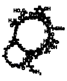 CSCC[C@@H]1NC(=O)[C@H](CC(=O)OO)NC(=O)[C@H](CC(C)C)NC(=O)[C@@H]2CCCN2C(=O)[C@@H]2CSCc3cc(cc(c3)OCCCCCCO/N=C/C(=O)N[C@@H](CCCCN)C(=O)N2)CSC[C@@H](C(N)=O)NC(=O)[C@H](CCC(=O)O)NC(=O)[C@H](Cc2ccc(O)cc2)NC(=O)[C@@H]2CCCN2C1=O